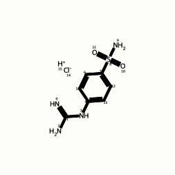 N=C(N)Nc1ccc(S(N)(=O)=O)cc1.[Cl-].[H+]